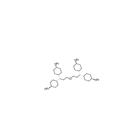 CCC[C@H]1CC[C@H](C(CCOCCC([C@H]2CC[C@H](CCC)CC2)[C@H]2CC[C@H](CCC)CC2)[C@H]2CC[C@H](CCC)CC2)CC1